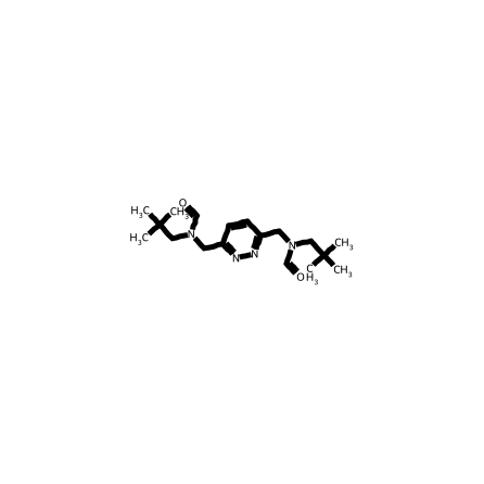 CC(C)(C)CN(C=O)Cc1ccc(CN(C=O)CC(C)(C)C)nn1